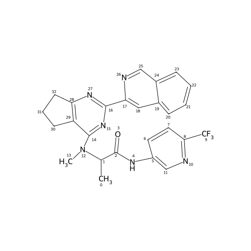 CC(C(=O)Nc1ccc(C(F)(F)F)nc1)N(C)c1nc(-c2cc3ccccc3cn2)nc2c1CCC2